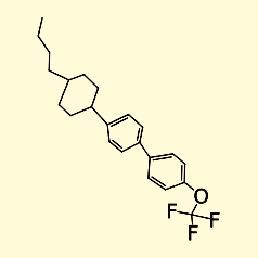 CCCCC1CCC(c2ccc(-c3ccc(OC(F)(F)F)cc3)cc2)CC1